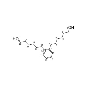 OCCCCCCc1cccc[n+]1CCCCCCO